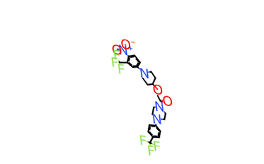 O=C(COC1CCN(c2ccc([N+](=O)[O-])c(C(F)(F)F)c2)CC1)N1CCN(c2ccc(C(F)(F)F)cc2)CC1